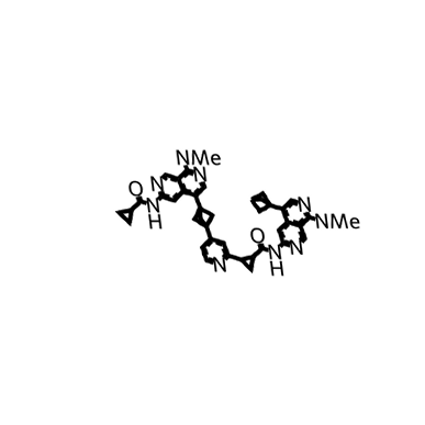 CNc1ncc(C23CC(C2)C3)c2cc(NC(=O)C3CC3c3cc(C45CC(c6cnc(NC)c7cnc(NC(=O)C8CC8)cc67)(C4)C5)ccn3)ncc12